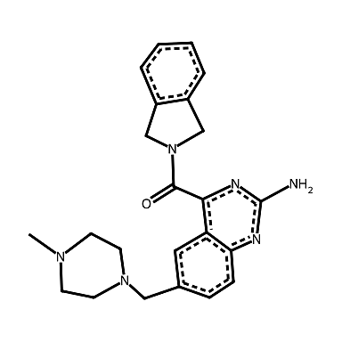 CN1CCN(Cc2ccc3nc(N)nc(C(=O)N4Cc5ccccc5C4)c3c2)CC1